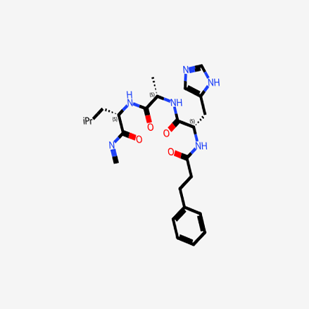 C=NC(=O)[C@H](CC(C)C)NC(=O)[C@H](C)NC(=O)[C@H](Cc1cnc[nH]1)NC(=O)CCc1ccccc1